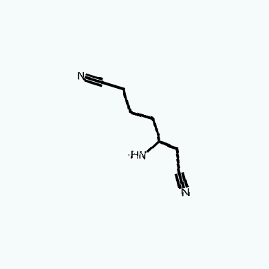 N#CCCCC([NH])CC#N